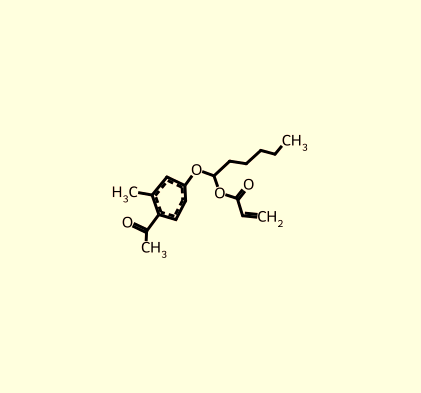 C=CC(=O)OC(CCCCC)Oc1ccc(C(C)=O)c(C)c1